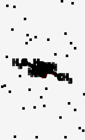 CCCCCCCCCNC(=N)NC(=N)N(CCN(C(=N)NC(=N)NCCCCCCCCC)c1ccccc1)c1ccccc1